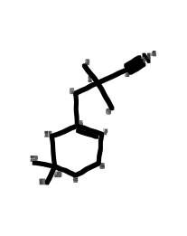 CC(C)(C#N)CC1=CCCC(C)(C)C1